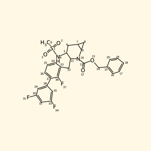 CS(=O)(=O)NC1CC2CC2N(C(=O)OCc2ccccc2)C1Cc1cccc(-c2cc(F)cc(F)c2)c1F